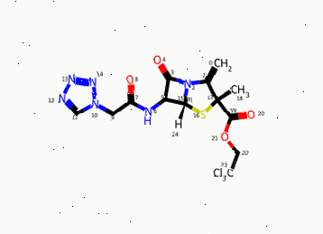 C=C1N2C(=O)C(NC(=O)Cn3cnnn3)[C@H]2SC1(C)C(=O)OCC(Cl)(Cl)Cl